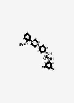 CC(C)Oc1ccccc1N1CCN([C@H]2CC[C@H](NC(=O)Nc3cc(F)cc(F)c3)CC2)CC1